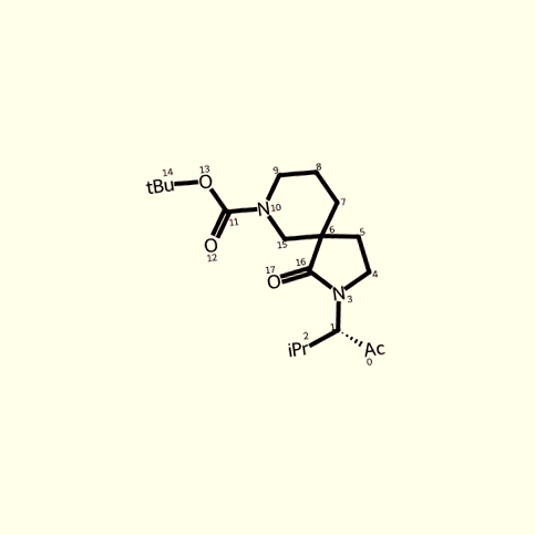 CC(=O)[C@H](C(C)C)N1CCC2(CCCN(C(=O)OC(C)(C)C)C2)C1=O